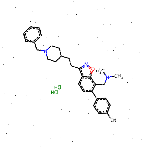 CN(C)Cc1c(-c2ccc(C#N)cc2)ccc2c(CCC3CCN(Cc4ccccc4)CC3)noc12.Cl.Cl